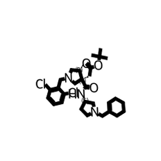 C[C@H]1CN(Cc2c(Cl)cccc2Cl)C[C@]1(CC(=O)OC(C)(C)C)C(=O)N[C@H]1CCN(CC2=CCCCC2)C1